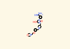 N=C(N)c1cccc(N2CC(O)CN(CC3CCN(Cc4cccc(OCCN5CCOCC5)c4)CC3)C2=O)c1